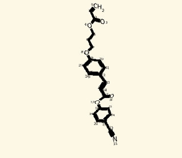 C=CC(=O)OCCCOc1ccc(C=CC(=O)Oc2ccc(C#N)cc2)cc1